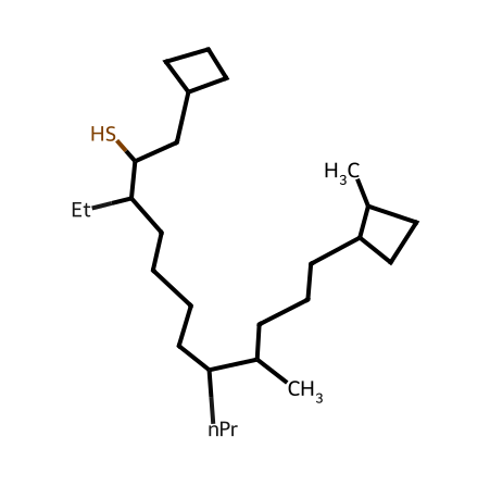 CCCC(CCCCC(CC)C(S)CC1CCC1)C(C)CCCC1CCC1C